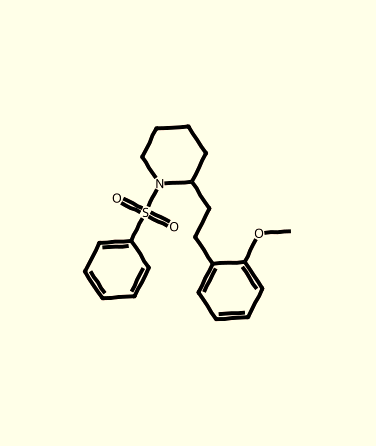 COc1ccccc1CCC1CCCCN1S(=O)(=O)c1ccccc1